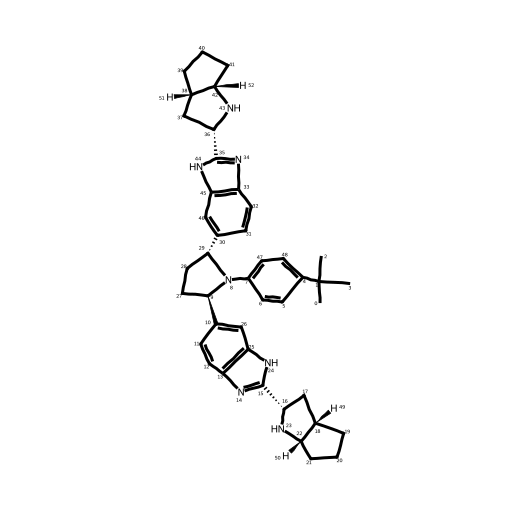 CC(C)(C)c1ccc(N2[C@@H](c3ccc4nc([C@@H]5C[C@@H]6CCC[C@@H]6N5)[nH]c4c3)CC[C@@H]2c2ccc3nc([C@@H]4C[C@@H]5CCC[C@@H]5N4)[nH]c3c2)cc1